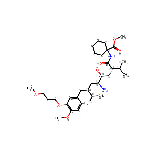 COCCCOc1cc(C[C@@H](C[C@H](N)[C@@H](O)C[C@H](C(=O)NC2(C(=O)OC)CCCCC2)C(C)C)C(C)C)ccc1OC